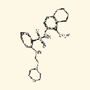 O=C(O)c1c(NS(=O)(=O)c2ccccc2NCCN2CCOCC2)ccc2c1CCCC2